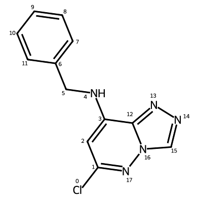 Clc1cc(NCc2ccccc2)c2nncn2n1